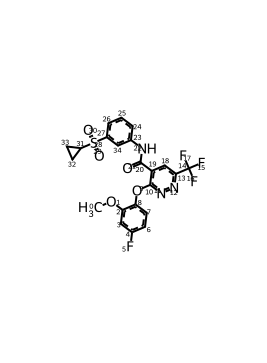 COc1cc(F)ccc1Oc1nnc(C(F)(F)F)cc1C(=O)Nc1cccc(S(=O)(=O)C2CC2)c1